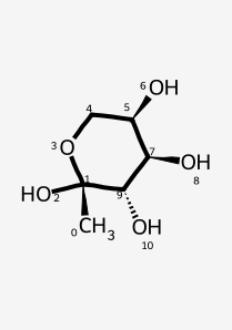 C[C@@]1(O)OC[C@@H](O)[C@@H](O)[C@@H]1O